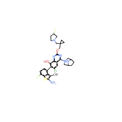 N#Cc1c(N)sc2c(F)ccc(-c3c(Cl)cc4c(N5CC6CCC(C5)N6)nc(OCC5(CN6CC[C@@H](F)C6)CC5)nc4c3O)c12